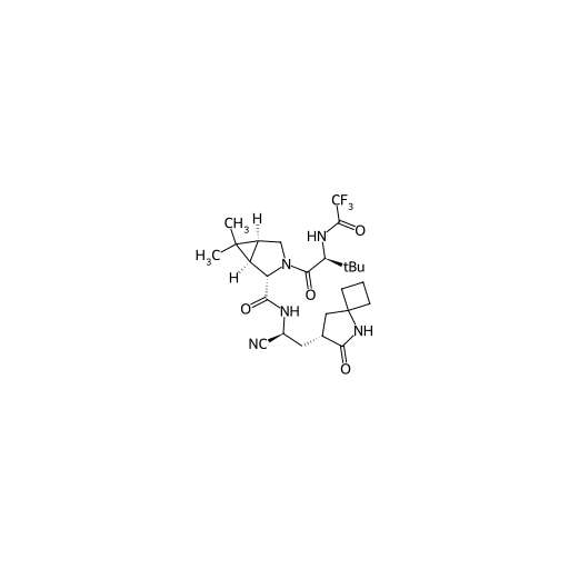 CC(C)(C)[C@H](NC(=O)C(F)(F)F)C(=O)N1C[C@H]2[C@@H]([C@H]1C(=O)N[C@H](C#N)C[C@@H]1CC3(CCC3)NC1=O)C2(C)C